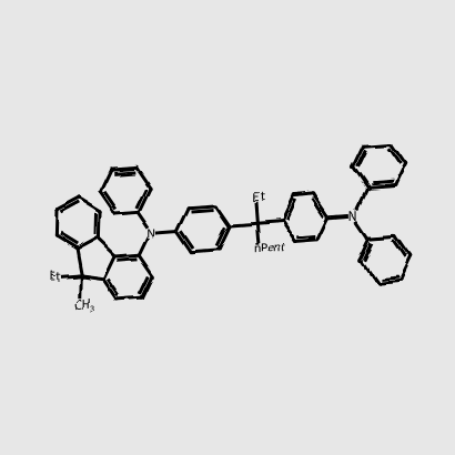 CCCCCC(CC)(c1ccc(N(c2ccccc2)c2ccccc2)cc1)c1ccc(N(c2ccccc2)c2cccc3c2-c2ccccc2C3(C)CC)cc1